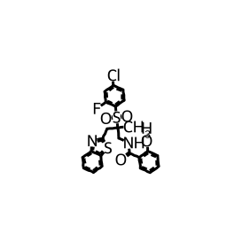 CC(CNC(=O)c1ccccc1O)(Cc1nc2ccccc2s1)S(=O)(=O)c1ccc(Cl)cc1F